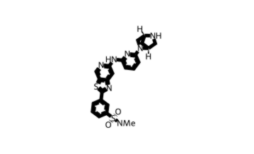 CNS(=O)(=O)c1cccc(-c2nc3cc(Nc4cccc(N5C[C@@H]6C[C@H]5CN6)n4)ncc3s2)c1